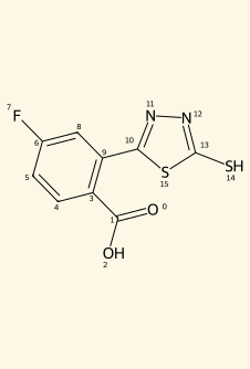 O=C(O)c1ccc(F)cc1-c1nnc(S)s1